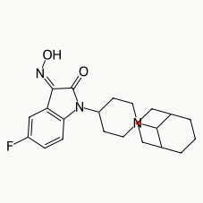 O=C1/C(=N\O)c2cc(F)ccc2N1C1CCN(C2C3CCCC2CCC3)CC1